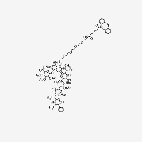 CC[C@H](C)[C@@H]([C@@H](CC(=O)N1CCC[C@H]1[C@H](OC)[C@@H](C)C(=O)N[C@H](C)[C@@H](O)c1ccccc1)OC)N(C)C(=O)[C@@H](NC(=O)[C@H](C(C)C)N(C)C(=O)OCc1cc(NC(=O)CCOCCOCCOCCOCCNC(=O)CCCCC(=O)N2Cc3ccccc3C#Cc3ccccc32)ccc1O[C@@H]1OC(C(=O)OC)[C@@H](OC(C)=O)C(OC(C)=O)C1OC(C)=O)C(C)C